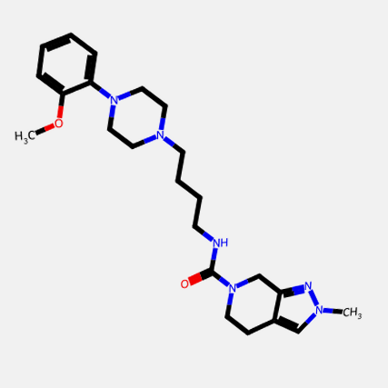 COc1ccccc1N1CCN(CCCCNC(=O)N2CCc3cn(C)nc3C2)CC1